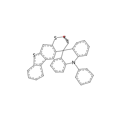 c1ccc(N2c3ccccc3C3(c4ccccc4Sc4cc5sc6ccccc6c5cc43)c3ccccc32)cc1